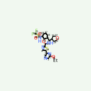 CCOc1cncc(-c2cnc(C(=O)N[C@H](c3cccc(NS(=O)(=O)C(F)F)c3)C3CCOCC3)s2)n1